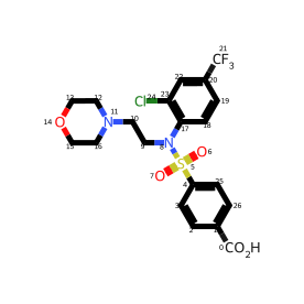 O=C(O)c1ccc(S(=O)(=O)N(CCN2CCOCC2)c2ccc(C(F)(F)F)cc2Cl)cc1